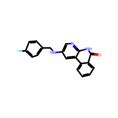 O=c1[nH]c2ncc(NCc3ccc(F)cc3)cc2c2ccccc12